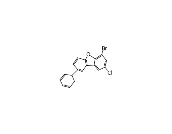 Clc1cc(Br)c2oc3ccc(C4C=CC=CC4)cc3c2c1